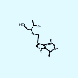 CC(S)[C@H](CO)NCc1c[nH]c2c(=O)[nH]cnc12